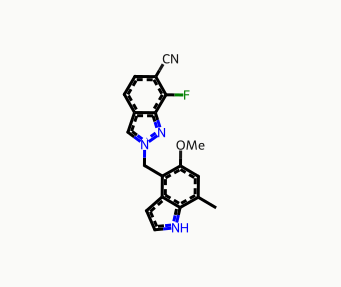 COc1cc(C)c2[nH]ccc2c1Cn1cc2ccc(C#N)c(F)c2n1